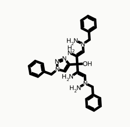 N/C(=C\N(N)Cc1ccccc1)C(O)(/C(N)=C/N(N)Cc1ccccc1)c1cn(Cc2ccccc2)nn1